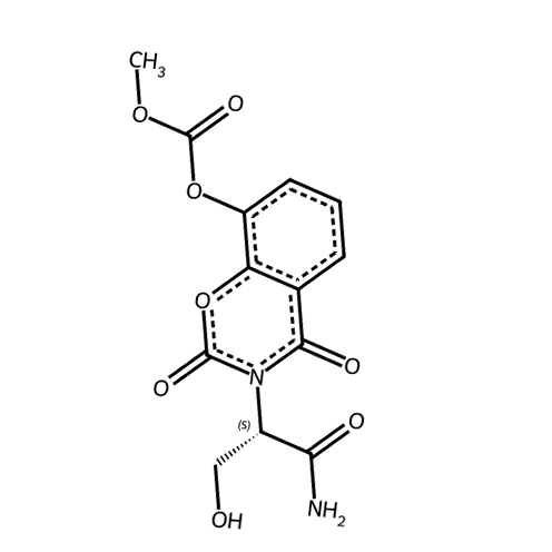 COC(=O)Oc1cccc2c(=O)n([C@@H](CO)C(N)=O)c(=O)oc12